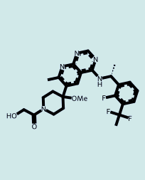 COC1(c2cc3c(N[C@H](C)c4cccc(C(C)(F)F)c4F)ncnc3nc2C)CCN(C(=O)CO)CC1